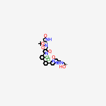 COc1nc(-c2cccc(-c3cccc(-c4ccc5nc(CNC[C@H](C)O)cc(=O)n5c4)c3Cl)c2Cl)ccc1CN(C[C@@H]1CCC(=O)N1)C(=O)OC(C)(C)C